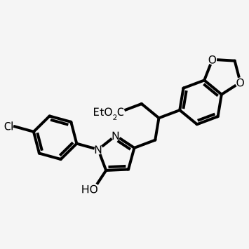 CCOC(=O)CC(Cc1cc(O)n(-c2ccc(Cl)cc2)n1)c1ccc2c(c1)OCO2